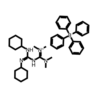 CN(C)C(NC(=NC1CCCCC1)NC1CCCCC1)=[N+](C)C.c1ccc([B-](c2ccccc2)(c2ccccc2)c2ccccc2)cc1